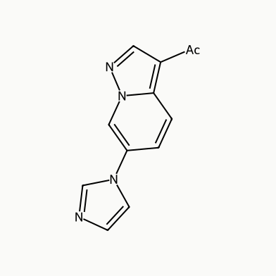 CC(=O)c1cnn2cc(-n3ccnc3)ccc12